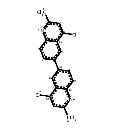 Clc1cc(C(Cl)(Cl)Cl)nc2ccc(-c3ccc4nc(C(Cl)(Cl)Cl)cc(Cl)c4c3)cc12